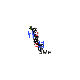 COc1ccn2c(C(=O)Nc3cc([C@H](C)NC(=O)Nc4cccc(F)c4)ccc3C)cnc2c1